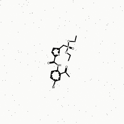 CCOP(=O)(Cc1ccc(C(=O)Nc2ccc(Br)cc2C(C)=O)s1)OCC